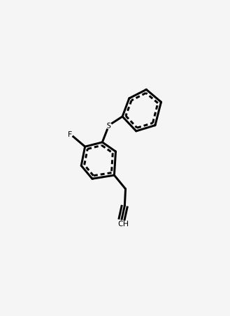 C#CCc1ccc(F)c(Sc2ccccc2)c1